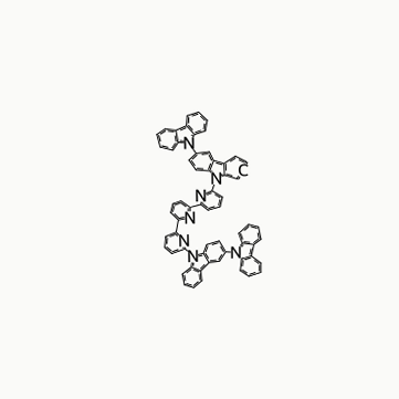 c1cc(-c2cccc(-n3c4ccccc4c4cc(-n5c6ccccc6c6ccccc65)ccc43)n2)nc(-c2cccc(-n3c4ccccc4c4cc(-n5c6ccccc6c6ccccc65)ccc43)n2)c1